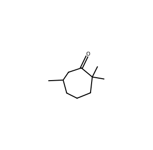 CC1CCCC(C)(C)C(=O)C1